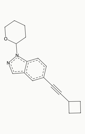 C(#CC1CCC1)c1ccc2c(cnn2C2CCCCO2)c1